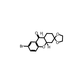 O=C1c2cc(Br)ccc2O[C@H]2CC3(CC[C@H]12)OCCO3